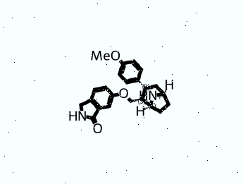 COc1ccc([C@@H]2C[C@H]3CC[C@H](N3)[C@H]2COc2ccc3c(c2)C(=O)NC3)cc1